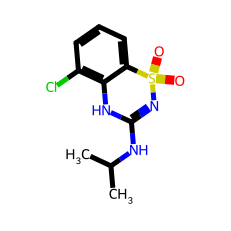 CC(C)NC1=NS(=O)(=O)c2cccc(Cl)c2N1